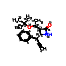 C#CC(c1ccccc1)[C@H]1NC(=O)[C@@H]1[C@@H](C)O[Si](C)(C)C(C)(C)C